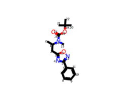 CC(Cc1nc(-c2ccccc2)no1)N(C)C(=O)OC(C)(C)C